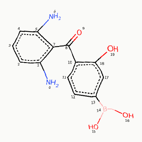 Nc1cccc(N)c1C(=O)c1ccc(B(O)O)cc1O